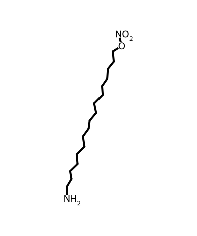 NCCCCCCCCCCCCCCCCCO[N+](=O)[O-]